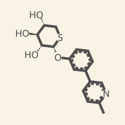 Cc1ccc(-c2cccc(O[C@H]3SC[C@@H](O)[C@H](O)[C@H]3O)c2)cn1